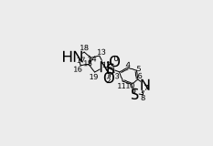 O=S(=O)(c1ccc2ncsc2c1)N1CC2=C(CNC2)C1